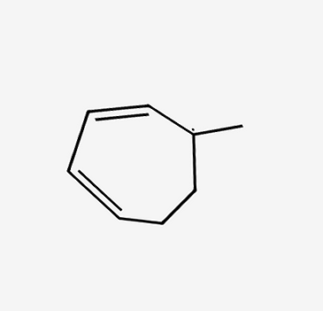 C[C]1C=CC=CCC1